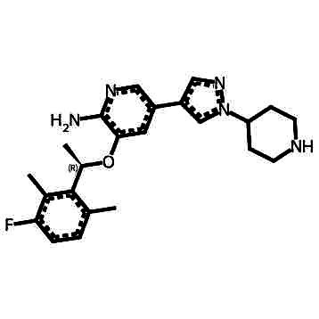 Cc1ccc(F)c(C)c1[C@@H](C)Oc1cc(-c2cnn(C3CCNCC3)c2)cnc1N